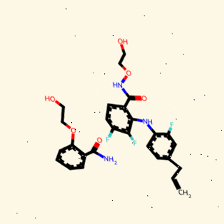 C=CCc1ccc(Nc2c(C(=O)NOCCO)ccc(F)c2F)c(F)c1.NC(=O)c1ccccc1OCCO